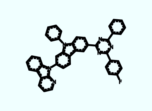 Fc1ccc(-c2nc(-c3ccccc3)nc(-c3ccc4c(c3)c3ccc(-n5c6ccccc6c6cccnc65)cc3n4-c3ccccc3)n2)cc1